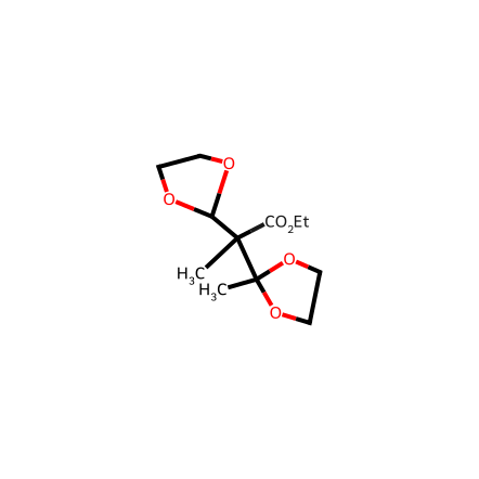 CCOC(=O)C(C)(C1OCCO1)C1(C)OCCO1